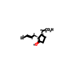 CC/C=C/C[C@H]1C(=O)CC[C@H]1CC(=O)O